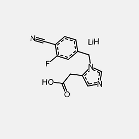 N#Cc1ccc(Cn2cncc2CC(=O)O)cc1F.[LiH]